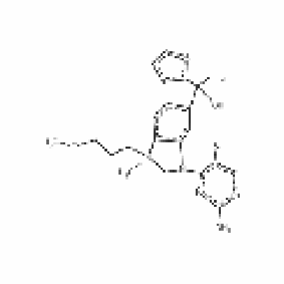 COCCC[C@]1(C)CN(c2nc(N)ncc2Cl)c2cc(C(C)(O)c3nccs3)ccc21